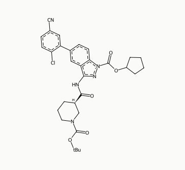 CC(C)(C)OC(=O)N1CCC[C@@H](C(=O)Nc2nn(C(=O)OC3CCCC3)c3ccc(-c4cc(C#N)ccc4Cl)cc23)C1